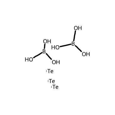 OB(O)O.OB(O)O.[Te].[Te].[Te]